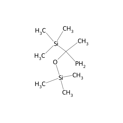 CC(P)(O[Si](C)(C)C)[Si](C)(C)C